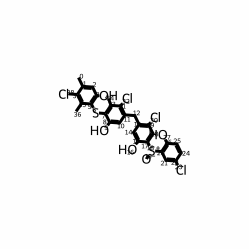 Cc1cc(O)c(Sc2c(O)cc(Cc3cc(O)c([S+]([O-])c4cc(Cl)ccc4O)cc3Cl)c(Cl)c2C)c(C)c1Cl